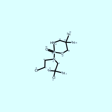 [2H]C([2H])(Cl)CN(CCCl)P1(=O)NCC([2H])([2H])CO1